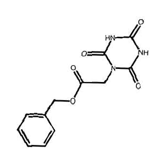 O=C(Cn1c(=O)[nH]c(=O)[nH]c1=O)OCc1ccccc1